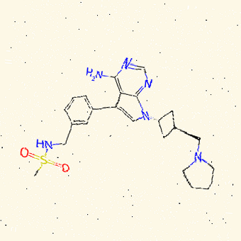 CS(=O)(=O)NCc1cccc(-c2cn([C@H]3C[C@H](CN4CCCC4)C3)c3ncnc(N)c23)c1